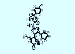 Cc1ccc(S(=O)(=O)NC(=O)Nc2nc(-c3ccccc3)c(-c3n[nH]c(=O)cc3C(C)C)s2)cc1